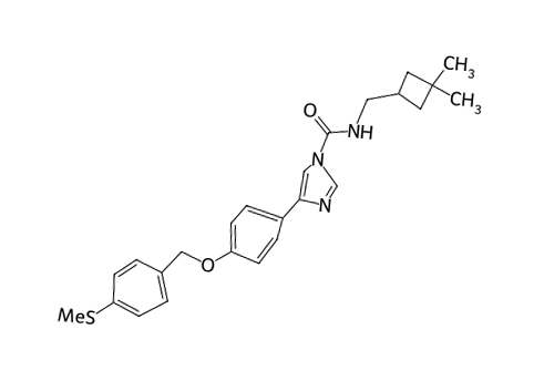 CSc1ccc(COc2ccc(-c3cn(C(=O)NCC4CC(C)(C)C4)cn3)cc2)cc1